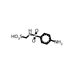 Nc1ccc(S(=O)(=O)NCS(=O)(=O)O)cc1